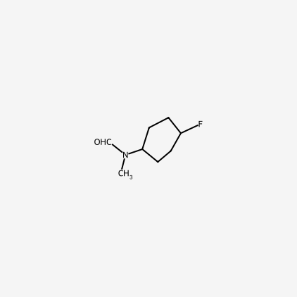 CN(C=O)C1CCC(F)CC1